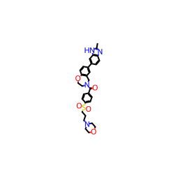 Cc1nc2ccc(-c3ccc4c(c3)CN(C(=O)c3ccc(S(=O)(=O)CCCN5CCOCC5)cc3)CCO4)cc2[nH]1